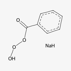 O=C(OOO)c1ccccc1.[NaH]